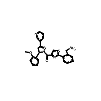 COc1ccccc1C1CC(c2cccnc2)=NN1C(=O)c1csc(-c2ccccc2CN)n1